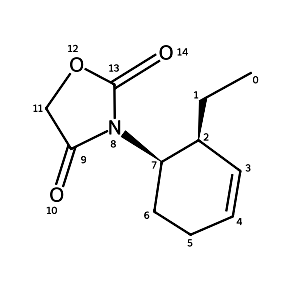 CC[C@H]1C=CCC[C@H]1N1C(=O)COC1=O